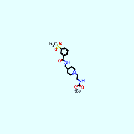 CC(C)(C)OC(=O)NCCN1CCC(CNC(=O)c2cccc(S(C)(=O)=O)c2)CC1